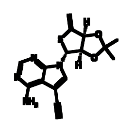 C#Cc1cn([C@@H]2SC(=C)[C@H]3OC(C)(C)O[C@H]32)c2ncnc(N)c12